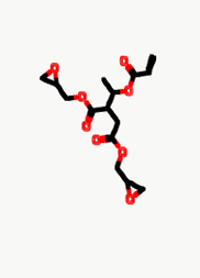 C=CC(=O)OC(C)C(CC(=O)OCC1CO1)C(=O)OCC1CO1